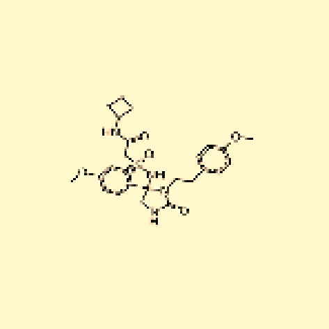 COc1ccc(CCN2C(=O)NCC2(NS(=O)(=O)CC(=O)NC2CCC2)c2ccc(OC)cc2)cc1